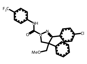 COCC1(c2ccccc2)CN(C(=O)Nc2ccc(C(F)(F)F)cc2)N=C1c1ccc(Cl)cc1